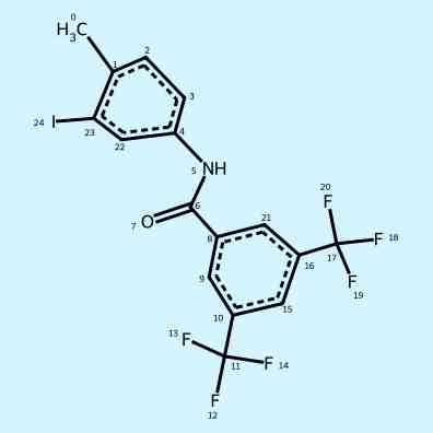 Cc1ccc(NC(=O)c2cc(C(F)(F)F)cc(C(F)(F)F)c2)cc1I